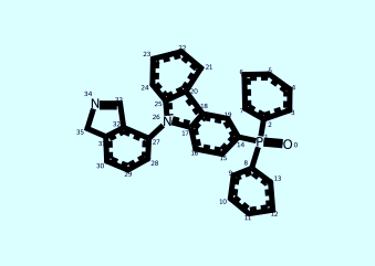 O=P(c1ccccc1)(c1ccccc1)c1ccc2c(c1)c1ccccc1n2-c1cccc2c1C=NC2